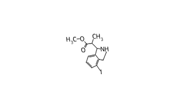 COC(=O)C(C)C1NCCc2c(I)cccc21